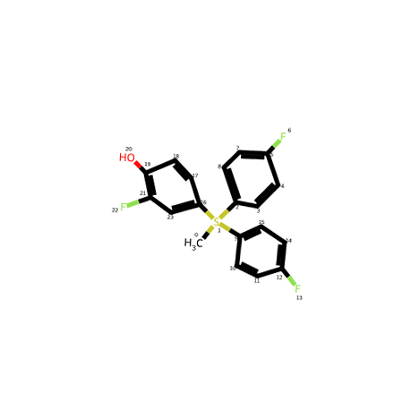 CS(c1ccc(F)cc1)(c1ccc(F)cc1)c1ccc(O)c(F)c1